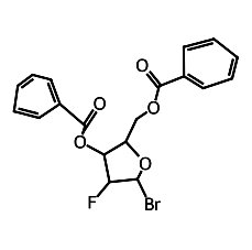 O=C(OCC1OC(Br)C(F)C1OC(=O)c1ccccc1)c1ccccc1